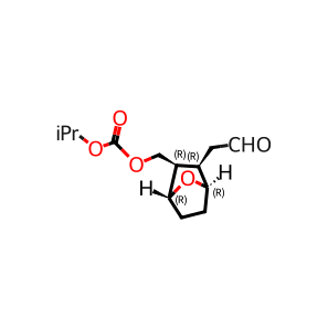 CC(C)OC(=O)OC[C@H]1[C@@H](CC=O)[C@H]2CC[C@H]1O2